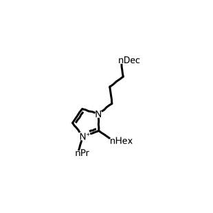 CCCCCCCCCCCCCn1cc[n+](CCC)c1CCCCCC